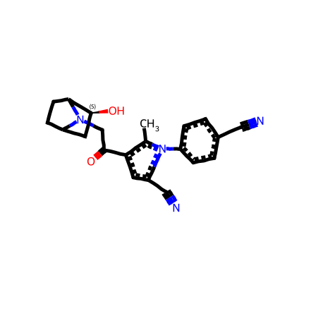 Cc1c(C(=O)CN2C3CCC2[C@@H](O)C3)cc(C#N)n1-c1ccc(C#N)cc1